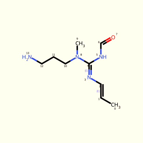 C/C=C/N=C(\NC=O)N(C)CCCN